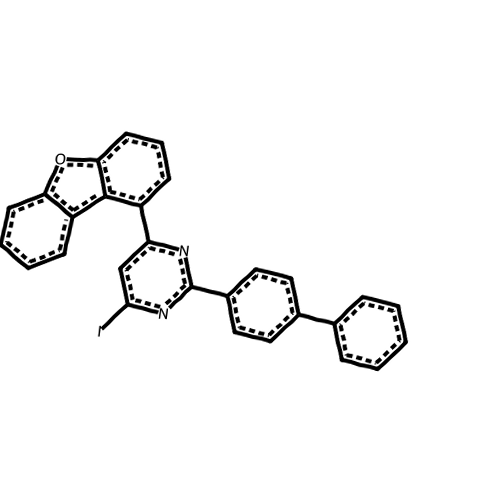 Ic1cc(-c2cccc3oc4ccccc4c23)nc(-c2ccc(-c3ccccc3)cc2)n1